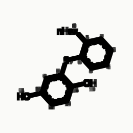 CCCCCCc1ccccc1Sc1cc(O)ccc1O